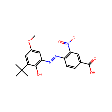 COc1cc(/N=N/c2ccc(C(=O)O)cc2[N+](=O)[O-])c(O)c(C(C)(C)C)c1